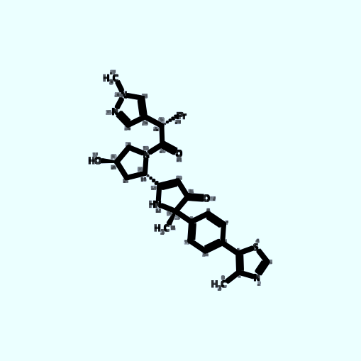 Cc1ncsc1-c1ccc([C@]2(C)NC([C@@H]3C[C@@H](O)CN3C(=O)[C@H](c3cnn(C)c3)C(C)C)=CC2=O)cc1